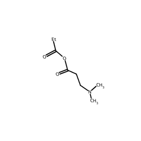 CCC(=O)OC(=O)CCN(C)C